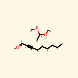 CCCCCCC#CC=O.COC(C)OC